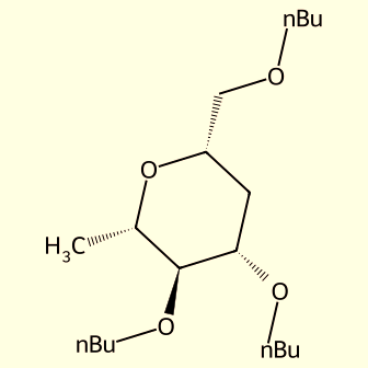 CCCCOC[C@@H]1C[C@H](OCCCC)[C@@H](OCCCC)[C@H](C)O1